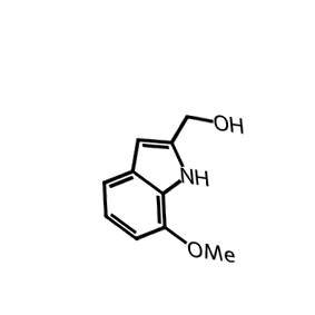 COc1cccc2cc(CO)[nH]c12